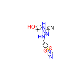 CN1CCN(S(=O)(=O)c2ccc(CCNc3ncc(C#N)c(N[C@@H]4CC[C@H](O)C(C)(C)C4)n3)cc2)CC1